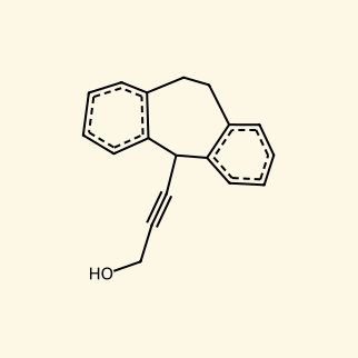 OCC#CC1c2ccccc2CCc2ccccc21